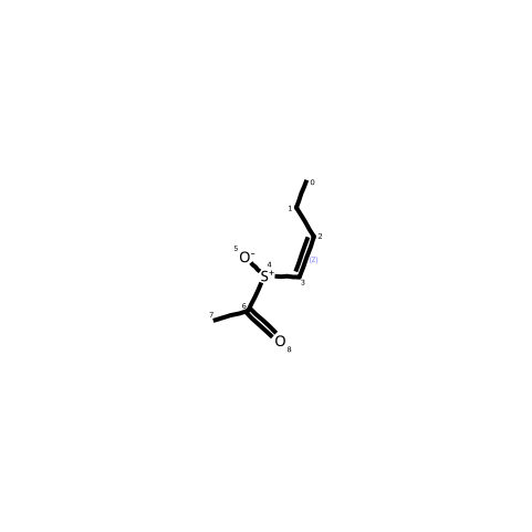 CC/C=C\[S+]([O-])C(C)=O